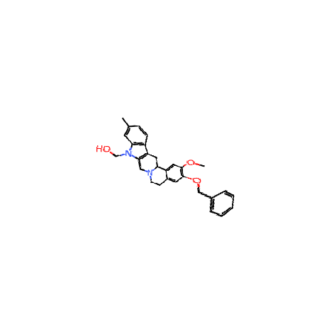 COc1cc2c(cc1OCc1ccccc1)CCN1Cc3c(c4ccc(C)cc4n3CO)CC21